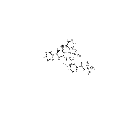 CC(C)(C)OC(=O)N1CCCC2(CCN(c3cc(Nc4cc(OC(F)(F)F)ccn4)nc(-c4cccnc4)n3)CC2)C1